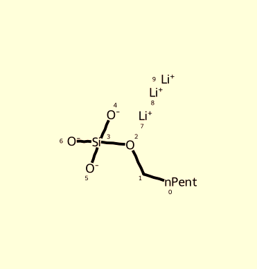 CCCCCCO[Si]([O-])([O-])[O-].[Li+].[Li+].[Li+]